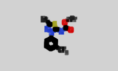 CCCOC(=O)N=c1sc(CC)nn1-c1cccc(C(F)(F)F)c1